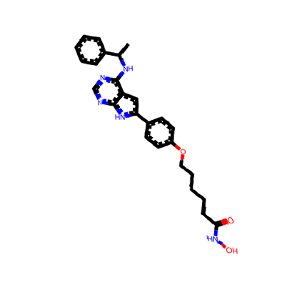 CC(Nc1ncnc2[nH]c(-c3ccc(OCCCCCC(=O)NO)cc3)cc12)c1ccccc1